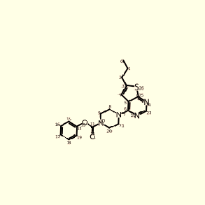 CCCc1cc2c(N3CCN(C(=O)Oc4ccccc4)CC3)ncnc2s1